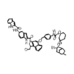 CCC1CC2CC(C)CC(C2)[C@H]1OO[C@@H]1CCCC(OC(=O)Nc2ccc(COc3cc4c(c5ccccc35)C(CCl)CN4C(=O)c3cc4cc(NC(=O)c5cc6ccccc6[nH]5)ccc4[nH]3)cc2)C1